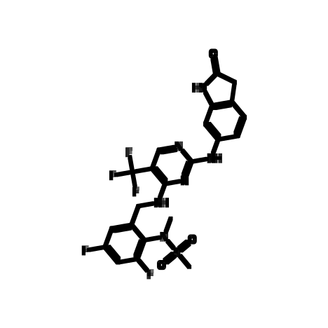 CN(c1c(F)cc(F)cc1CNc1nc(Nc2ccc3c(c2)NC(=O)C3)ncc1C(F)(F)F)S(C)(=O)=O